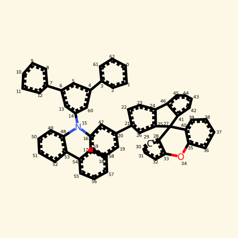 c1ccc(-c2cc(-c3ccccc3)cc(N(c3cccc(-c4ccc5c(c4)C4(c6ccccc6Oc6ccccc64)c4ccccc4-5)c3)c3ccccc3-c3ccccc3)c2)cc1